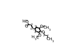 CCCOc1c(OC)cc(C=CC(=O)O)cc1OC